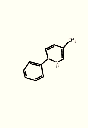 CC1=CNN(c2ccccc2)C=C1